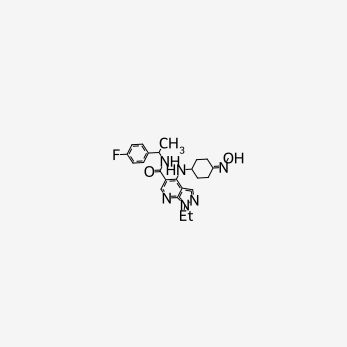 CCn1ncc2c(NC3CCC(=NO)CC3)c(C(=O)NC(C)c3ccc(F)cc3)cnc21